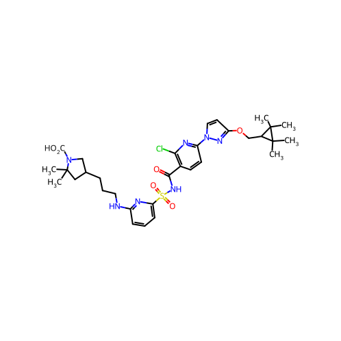 CC1(C)CC(CCCNc2cccc(S(=O)(=O)NC(=O)c3ccc(-n4ccc(OCC5C(C)(C)C5(C)C)n4)nc3Cl)n2)CN1C(=O)O